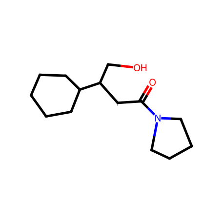 O=C([CH]C(CO)C1CCCCC1)N1CCCC1